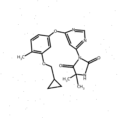 Cc1ccc(Oc2cc(N3C(=O)NC(C)(C)C3=O)ncn2)cc1OCC1CC1